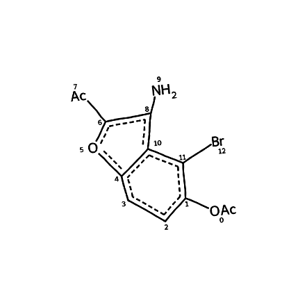 CC(=O)Oc1ccc2oc(C(C)=O)c(N)c2c1Br